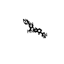 C=C(Nc1cc2c(C)c(-c3cnn(C)c3)ccc2cn1)c1ccnc(N2CCN(C)CC2)c1